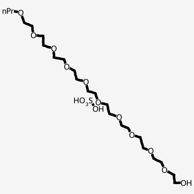 CCCOCCOCCOCCOCCOCCOCCOCCOCCOCCOCCO.O=S(=O)(O)O